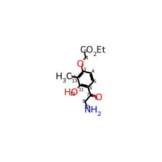 CCOC(=O)COc1ccc(C(=O)CN)c(O)c1C